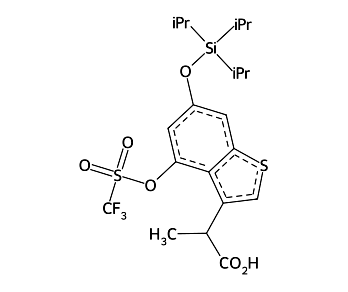 CC(C(=O)O)c1csc2cc(O[Si](C(C)C)(C(C)C)C(C)C)cc(OS(=O)(=O)C(F)(F)F)c12